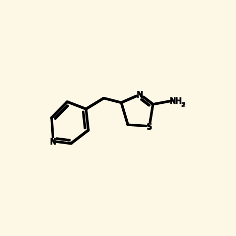 NC1=NC(Cc2ccncc2)CS1